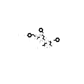 CC[C@H](C)[C@H](NC(=O)C[C@H](O)[C@H](Cc1ccccc1)NC(=O)C(NC(=O)Cc1ccc(OC)cc1)C(C)C)C(=O)NC(C(=O)OCc1ccccc1)C(C)C